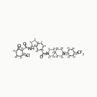 O=C(NC1CCc2ccc(C(=O)N3CCC4(CC3)CCN(c3ccc(C(F)(F)F)cc3)CC4)cc21)c1c(Cl)cccc1Cl